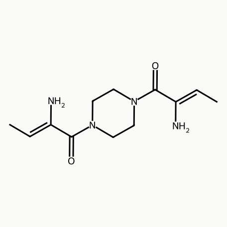 CC=C(N)C(=O)N1CCN(C(=O)C(N)=CC)CC1